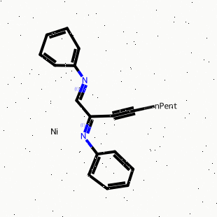 CCCCCC#CC(/C=N/c1ccccc1)=N\c1ccccc1.[Ni]